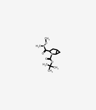 CON(C)C(=O)C1CC2CC2N1C(=O)OC(C)(C)C